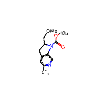 COCC1Cc2cc(C(F)(F)F)ncc2N1C(=O)OC(C)(C)C